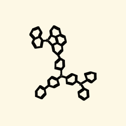 c1ccc(-c2ccc(N(c3ccc(-c4cc5ccc6cccc7c6c5c(c4)n7-c4cccc5ccccc45)cc3)c3ccc(N(c4ccccc4)c4ccccc4)cc3)cc2)cc1